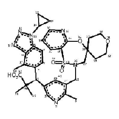 Cc1ncc([C@H](c2ccc3c(nnn3C3CC3)c2C)C(C)(C)C(=O)O)cc1CN1CC2(CCOCC2)Oc2ncccc2S1(=O)=O